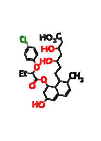 CCC(Oc1ccc(Cl)cc1)C(=O)OC1CC(O)C=C2C=CC(C)C(CCC(O)CC(O)CC(=O)O)C21